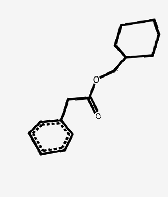 O=C(Cc1ccccc1)O[CH]C1CCCCC1